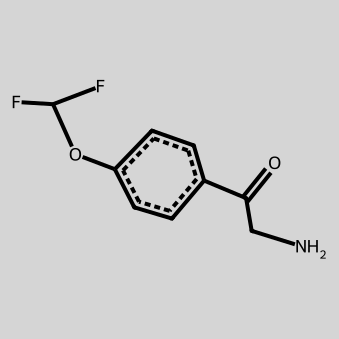 NCC(=O)c1ccc(OC(F)F)cc1